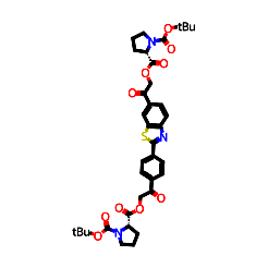 CC(C)(C)OC(=O)N1CCC[C@H]1C(=O)OCC(=O)c1ccc(-c2nc3ccc(C(=O)COC(=O)[C@@H]4CCCN4C(=O)OC(C)(C)C)cc3s2)cc1